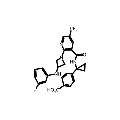 O=C(O)c1ccc(C2(NC(=O)c3cc(C(F)(F)F)cnc3N3CC(Nc4cccc(F)c4)C3)CC2)cc1